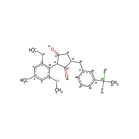 CCc1cc(C)cc(CC)c1C1C(=O)CC(Cc2cccc(C(C)(F)F)c2)C1=O